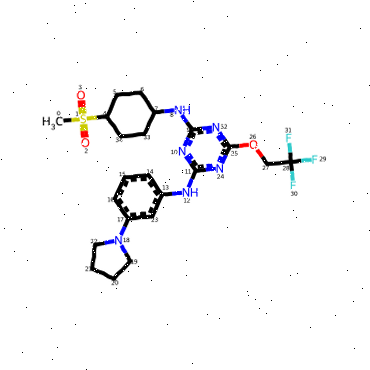 CS(=O)(=O)C1CCC(Nc2nc(Nc3cccc(N4CCCC4)c3)nc(OCC(F)(F)F)n2)CC1